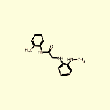 CNc1ccccc1NCC(=O)Nc1ccccc1C